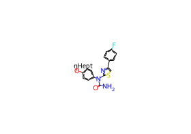 CCCCCCCOc1ccc(N(C(N)=O)c2nc(-c3ccc(F)cc3)cs2)cc1